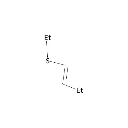 CCC=CSCC